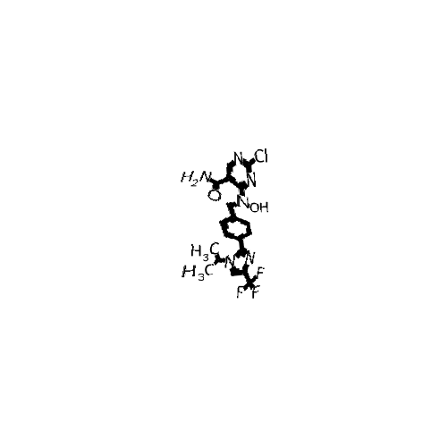 CC(C)n1cc(C(F)(F)F)nc1-c1ccc(CN(O)c2nc(Cl)ncc2C(N)=O)cc1